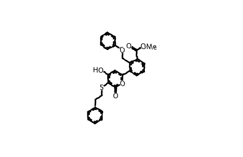 COC(=O)c1cccc(-c2cc(O)c(SCCc3ccccc3)c(=O)o2)c1COc1ccccc1